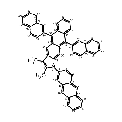 Cc1c(C)n(-c2ccc3cc4ccccc4cc3c2)c2cc3c(-c4ccc5ccccc5c4)c4ccccc4c(-c4ccc5ccccc5c4)c3cc12